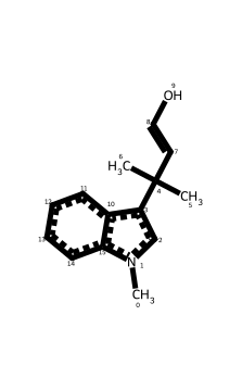 Cn1cc(C(C)(C)C=CO)c2ccccc21